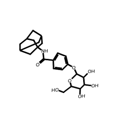 O=C(NC12CC3CC(CC(C3)C1)C2)c1ccc(OC2OC(CO)C(O)C(O)C2O)cc1